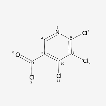 O=C(Cl)c1cnc(Cl)c(Cl)c1Cl